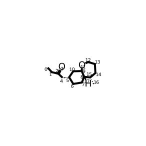 CCC(=O)C[C@H]1CC[C@@H]2C(C1)OCCC[C@@H]2C